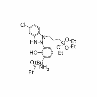 CCC(N)=O.CCO[Si](CCCN1c2ccc(Cl)cc2NN1c1cccc(C(C)(C)C)c1O)(OCC)OCC